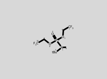 CN(C(C)(C)C)P(=O)(OCC(F)(F)F)OCC(F)(F)F